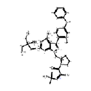 CC(C)(N)/C=C(/C#N)C(=O)N1CCC[C@@H]1Cn1nc(-c2ccc(Oc3ccccc3)cc2F)c2c(N)ncnc21.NC(CO)(CO)CO